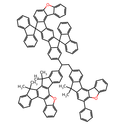 CC1(C)c2cc(CC(c3ccc4c(c3)C(C)(C)c3c5c(c6c(oc7ccccc76)c3-4)-c3ccccc3C5(C)C)c3ccc4c(c3)C3(c5ccccc5-c5ccccc53)c3cc5c(cc3-4)C3(c4ccccc4-c4ccccc43)c3ccc4oc6ccccc6c4c3-5)ccc2-c2c1cc(-c1ccccc1)c1oc3ccccc3c21